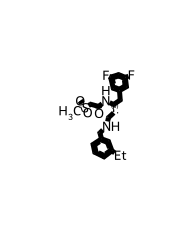 CCc1cccc(CNC[CH][C@@H](Cc2cc(F)cc(F)c2)NC(=O)CS(C)(=O)=O)c1